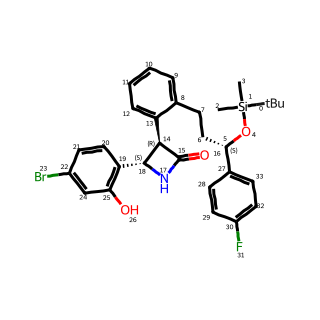 CC(C)(C)[Si](C)(C)O[C@@H](CCc1ccccc1[C@H]1C(=O)N[C@@H]1c1ccc(Br)cc1O)c1ccc(F)cc1